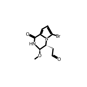 CO[C@H]1NC(=O)c2ccc(Br)n2[C@@H]1CC=O